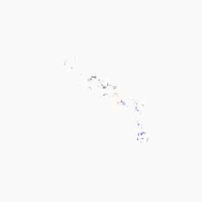 CC(C)CCCCC1CCC2C3CC=C4CC(OC(=O)N(CCCCNCC5(CN)CC5)CC5(CN)CC5)CCC4(C)C3CCC12C